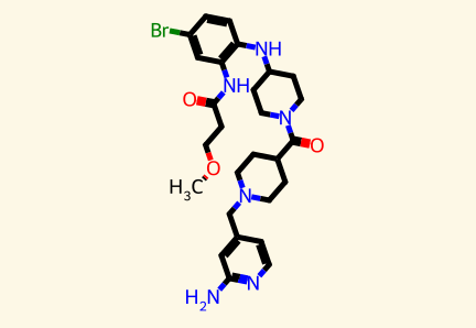 COCCC(=O)Nc1cc(Br)ccc1NC1CCN(C(=O)C2CCN(Cc3ccnc(N)c3)CC2)CC1